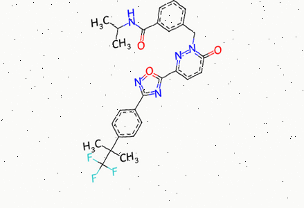 CC(C)NC(=O)c1cccc(Cn2nc(-c3nc(-c4ccc(C(C)(C)C(F)(F)F)cc4)no3)ccc2=O)c1